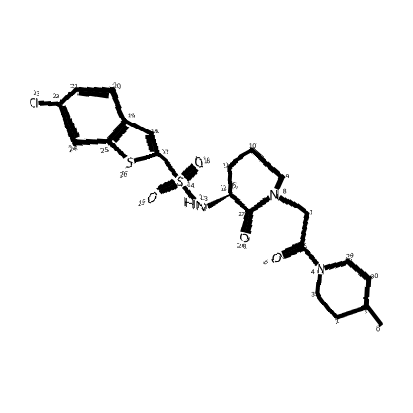 CC1CCN(C(=O)CN2CCC[C@H](NS(=O)(=O)c3cc4ccc(Cl)cc4s3)C2=O)CC1